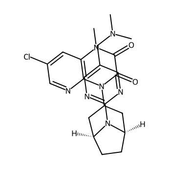 CN(C)Cc1cnc(N2[C@@H]3CC[C@H]2CC(n2c(=O)c(=O)n(C)c4cc(Cl)cnc42)C3)nc1